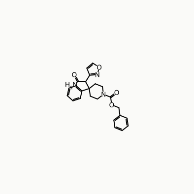 NC(=O)C(c1ccon1)C1(c2ccccc2)CCN(C(=O)OCc2ccccc2)CC1